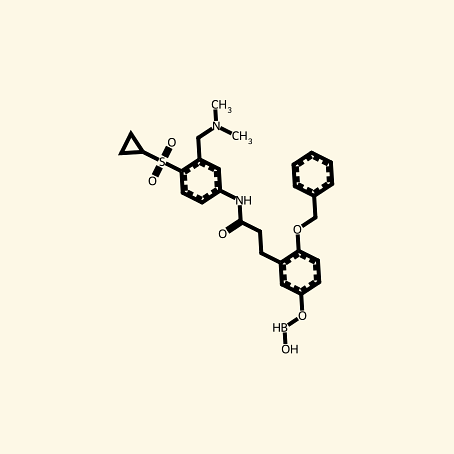 CN(C)Cc1cc(NC(=O)CCc2cc(OBO)ccc2OCc2ccccc2)ccc1S(=O)(=O)C1CC1